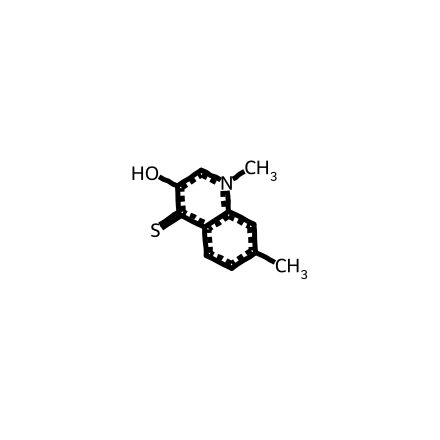 Cc1ccc2c(=S)c(O)cn(C)c2c1